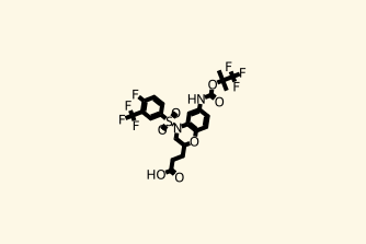 CC(C)(OC(=O)Nc1ccc2c(c1)N(S(=O)(=O)c1ccc(F)c(C(F)(F)F)c1)CC(CCC(=O)O)O2)C(F)(F)F